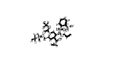 C=CCON([C@H]1CN(C(=O)OC(C)(C)C)[C@H](CO[Si](C)(C)C(C)(C)C)C=C1C(=O)N(C)C)S(=O)(=O)c1ccccc1[N+](=O)[O-]